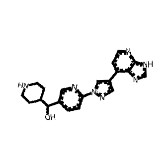 OC(c1ccc(-n2cc(-c3ccnc4[nH]cnc34)cn2)nc1)C1CCNCC1